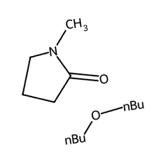 CCCCOCCCC.CN1CCCC1=O